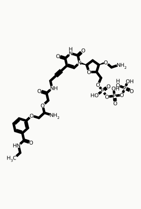 CCNC(=O)c1cccc(OCC(N)OCC(=O)NCC#Cc2cn([C@H]3C[C@@H](OCN)C(COP(=O)(O)OP(=O)(O)OP(=O)(O)O)O3)c(=O)[nH]c2=O)c1